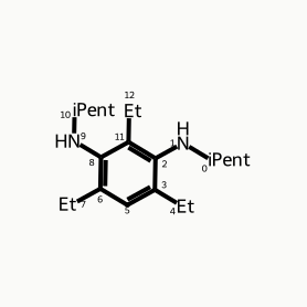 CCCC(C)Nc1c(CC)cc(CC)c(NC(C)CCC)c1CC